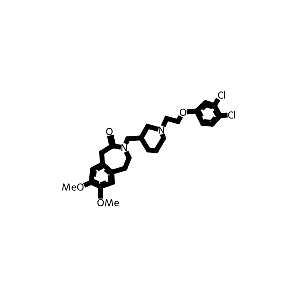 COc1cc2c(cc1OC)CC(=O)N(CC1CCCN(CCOc3ccc(Cl)c(Cl)c3)C1)CC2